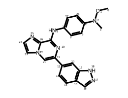 CON(C)c1ccc(Nc2nc(-c3ccc4cn[nH]c4c3)cn3ccnc23)cc1